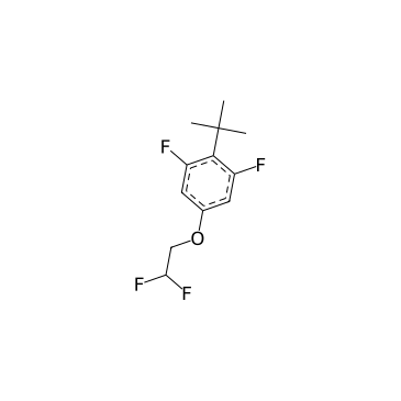 CC(C)(C)c1c(F)cc(OCC(F)F)cc1F